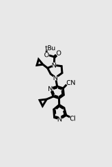 CC(C)(C)OC(=O)N1CCN(c2nc(C3CC3)c(-c3ccnc(Cl)c3)cc2C#N)CC1C1CC1